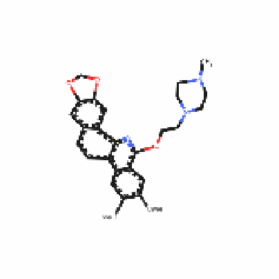 COc1cc2c(OCCN3CCN(C)CC3)nc3c4cc5c(cc4ccc3c2cc1OC)OCO5